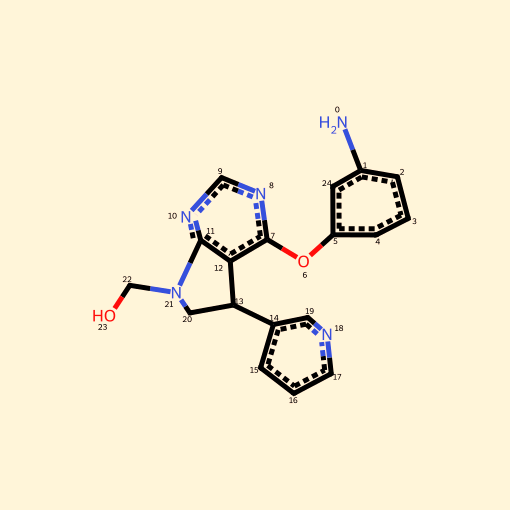 Nc1cccc(Oc2ncnc3c2C(c2cccnc2)CN3CO)c1